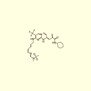 C=C/C(=C\C(=C)C(=O)NC1CCCCC1)Nc1ncc(C(F)(F)F)c(NC/C=C/C=C\N=C\N(C)S(C)(=O)=O)n1